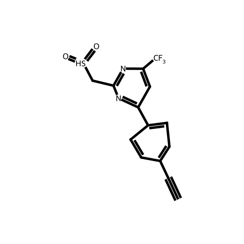 C#Cc1ccc(-c2cc(C(F)(F)F)nc(C[SH](=O)=O)n2)cc1